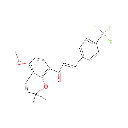 COc1ccc(C(=O)C=Cc2ccc(C(F)(F)F)cc2)c2c1C=CC(C)(C)O2